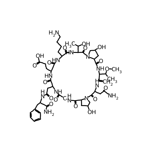 C=C1NC(CC(N)=O)C(=O)N2CC(O)CC2C(=O)NCC(=O)NC(CC(=O)NC(Cc2ccccc2)C(N)=O)C(=O)NC(CCC(=O)O)C(=O)NC(CCCCN)C(=O)NC(C(C)O)C(=O)N2CC(O)CC2C(=O)NC1C(C)OC